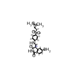 Bc1ccc2c(c1)/C(=C/Nc1ccc(S(=O)(=O)CCN(C)C)cc1)C(=O)NC2=O